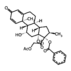 CC(=O)OCC(=O)[C@]1(OC(=O)c2ccccc2)[C@H](C)C[C@H]2[C@@H]3CCC4=CC(=O)C=C[C@]4(C)[C@H]3[C@@H](O)C[C@@]21C